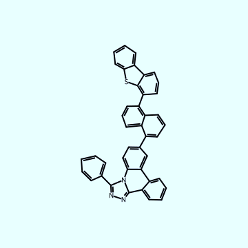 c1ccc(-c2nnc3c4ccccc4c4cc(-c5cccc6c(-c7cccc8c7sc7ccccc78)cccc56)ccc4n23)cc1